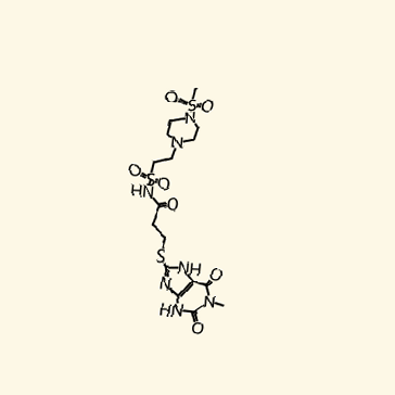 Cn1c(=O)[nH]c2nc(SCCC(=O)NS(=O)(=O)CCN3CCN(S(C)(=O)=O)CC3)[nH]c2c1=O